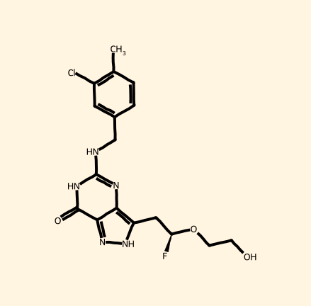 Cc1ccc(CNc2nc3c(C[C@H](F)OCCO)[nH]nc3c(=O)[nH]2)cc1Cl